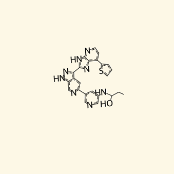 CCC(O)Nc1cncc(-c2cc3c(-c4nc5c(-c6cccs6)ccnc5[nH]4)n[nH]c3cn2)c1